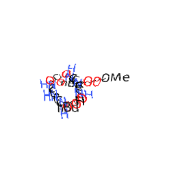 CCCCOC1C2=CCCC1C(=O)NCCN(CCOCCOCCOC)CCNC(=O)[C@H]1CCC=C(C(=O)NCCNCCNC2=O)C1OCCCC